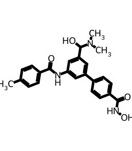 Cc1ccc(C(=O)Nc2cc(-c3ccc(C(=O)NO)cc3)cc(C(O)N(C)C)c2)cc1